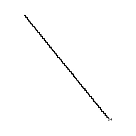 CCCCCCCCCCCCCCCCCCCCCCCCCCCCCCCCCCCCCCCCCCCCCCCCCCCCCCCCCCCCCCCCCCCCCCCCCCCCCCCCCCCCCCCCCCCCCCCCCCCCS